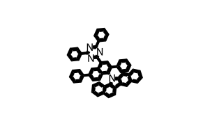 c1ccc(-c2ccc3c(-n4c5cc6ccccc6cc5c5ccc6ccccc6c54)c(-c4ccccc4)cc(-c4nc(-c5ccccc5)nc(-c5ccccc5)n4)c3c2)cc1